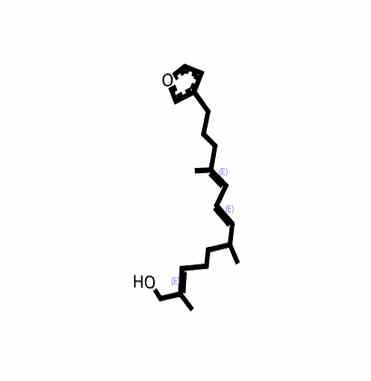 C/C(=C\CCC(C)/C=C/C=C(\C)CCCc1ccoc1)CO